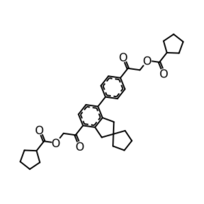 O=C(COC(=O)C1CCCC1)c1ccc(-c2ccc(C(=O)COC(=O)C3CCCC3)c3c2CC2(CCCC2)C3)cc1